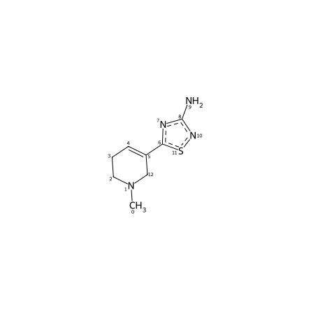 CN1CCC=C(c2nc(N)ns2)C1